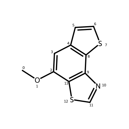 COc1cc2ccsc2c2ncsc12